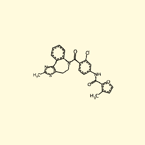 Cc1nc2c(s1)CCN(C(=O)c1ccc(NC(=O)c3occc3C)cc1Cl)c1ccccc1-2